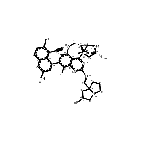 C#Cc1c(F)ccc2cc(O)cc(-c3nc4c5c(nc(OCC67CCCN6C[C@@H](F)C7)nc5c3F)N3C[C@H]5C[C@H]6C(N5)[C@@]63CO4)c12